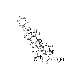 CCOC(=O)C1CCN(C(=O)N2CC[C@](c3ccc(C(OCC4CCCCC4)(C(F)(F)F)C(F)(F)F)cc3)([S+]([O-])c3ccc(F)cc3)C2)CC1